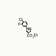 CCOC(=O)c1cnn(-c2ccc(Cl)c(F)c2)c1